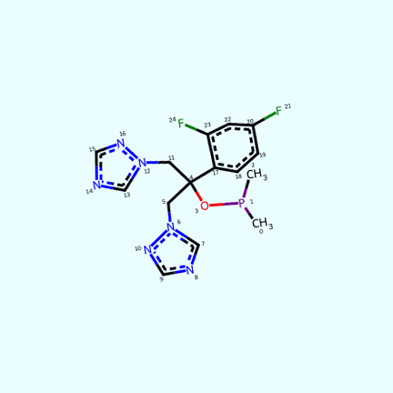 CP(C)OC(Cn1cncn1)(Cn1cncn1)c1ccc(F)cc1F